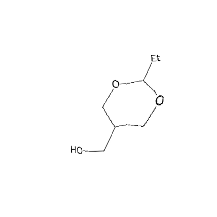 CCC1OCC(CO)CO1